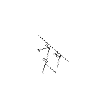 CCCCCCCCCCC(CCCCC=C(CC(CCCCCC)CCCCCCCC)C(=O)O)N(CCCCCCCC(=O)OCC(CCCCCC)CCCCCCCC)C(=O)CCCCN(C)C